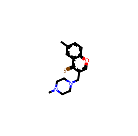 Cc1ccc2occ(CN3CCN(C)CC3)c(=S)c2c1